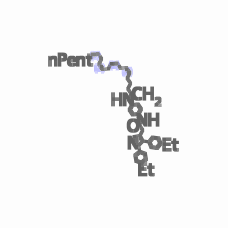 C=C(CCC/C=C\C/C=C\C/C=C\C/C=C\CCCCC)Nc1ccc(NC(=O)CC2=C(c3ccc(CC)cc3)C(c3ccc(CC)cc3)=NC2)cc1